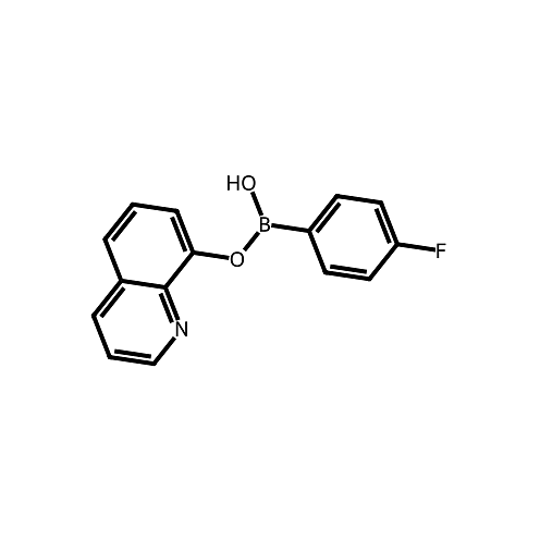 OB(Oc1cccc2cccnc12)c1ccc(F)cc1